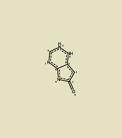 O=c1cc2[nH][nH]cnc-2n1